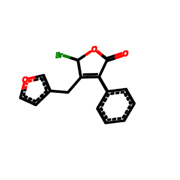 O=C1OC(Br)C(Cc2ccoc2)=C1c1ccccc1